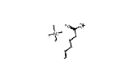 CCCCCC(=O)O.C[N+](C)(C)C